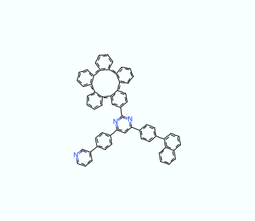 c1cncc(-c2ccc(-c3cc(-c4ccc(-c5cccc6ccccc56)cc4)nc(-c4ccc5c6ccccc6c6ccccc6c6ccccc6c6ccccc6c5c4)n3)cc2)c1